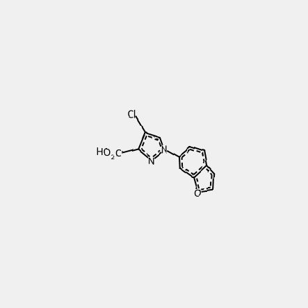 O=C(O)c1nn(-c2ccc3ccoc3c2)cc1Cl